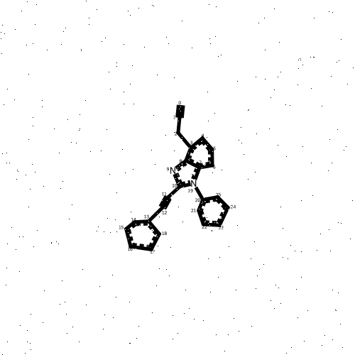 C#CCc1cccc2c1nc(C#Cc1ccccc1)n2-c1ccccc1